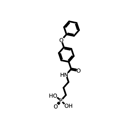 O=C(NCCCP(=O)(O)O)c1ccc(Oc2ccccc2)cc1